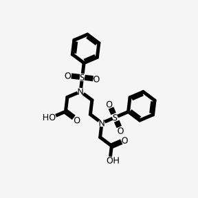 O=C(O)CN(CCN(CC(=O)O)S(=O)(=O)c1ccccc1)S(=O)(=O)c1ccccc1